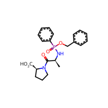 C[C@H](NP(=O)(OCc1ccccc1)c1ccccc1)C(=O)N1CCC[C@H]1C(=O)O